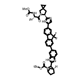 COC(=O)N[C@H](C(=O)N1CC2(CC2)C[C@H]1c1ncc(-c2ccc3c(c2)C(F)(F)c2cc(-c4ccc5nc(C6[C@H]7CCC(C7)N6C(=O)OC(C)(C)C)[nH]c5c4)ccc2-3)[nH]1)C(C)C